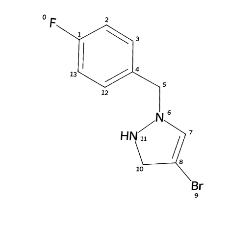 Fc1ccc(CN2C=C(Br)CN2)cc1